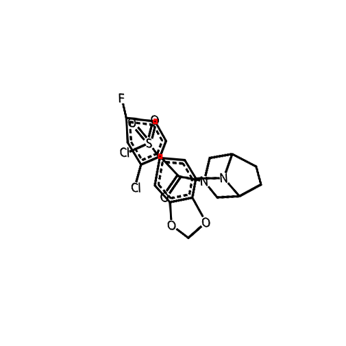 O=C(c1ccc(F)cc1Cl)N1CC2CCC(C1)N2c1cc(S(=O)(=O)Cl)cc2c1OCO2